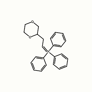 C(CC1COCCO1)=P(c1ccccc1)(c1ccccc1)c1ccccc1